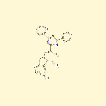 C=C/C=C1C(C=C)=C(/C=C(\C)c2nc(-c3ccccc3)nc(-c3ccccc3)n2)CC/1=C/C